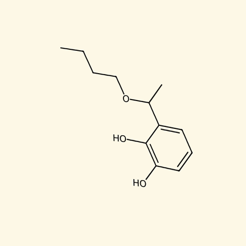 CCCCOC(C)c1cccc(O)c1O